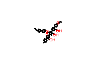 CCCOC1CCC(c2ccc(-c3cc(C(=O)Oc4ccc(-c5ccc(CCC)cc5)cc4)c(-c4ccc(C5CCC(C)CC5)c(CO)c4)c(C)c3CO)cc2CO)CC1